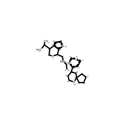 CC(C)C1COC(CNCC[C@@]2(c3ccccn3)CCOC3(CCCC3)C2)c2sccc21